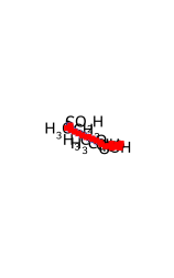 CC(=C/C=C/C(C)=C/C=C/C=C(C)/C=C/C=C(C)/C=C/C(=O)ONC(=O)N1CCC(O)(Cc2ccccc2)CC1)/C=C/C(=O)O